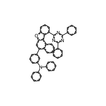 c1ccc(-c2nc(-c3ccccc3)nc(-c3cccc4oc5cc(-c6cccc(N(c7ccccc7)c7ccccc7)c6)c6ccccc6c5c34)n2)cc1